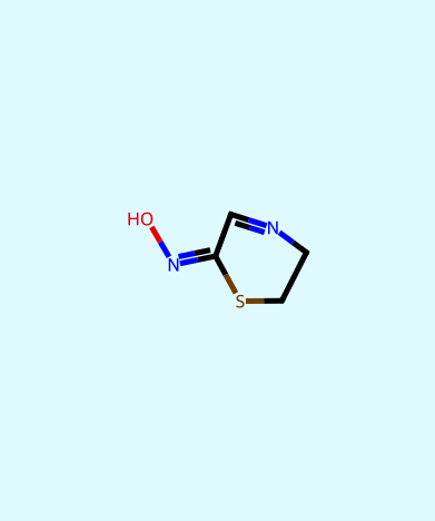 ON=C1C=NCCS1